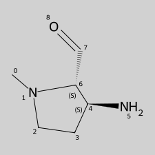 CN1CC[C@H](N)[C@H]1C=O